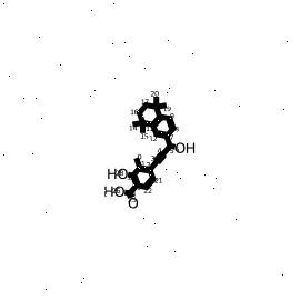 Cc1c(C#CC(O)c2ccc3c(c2)C(C)(C)CCC3(C)C)ccc(C(=O)O)c1O